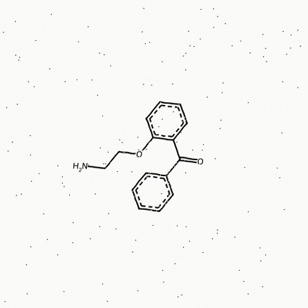 NCCOc1ccccc1C(=O)c1ccccc1